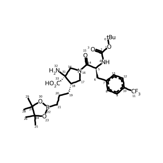 CC(C)(C)OC(=O)N[C@@H](Cc1ccc(C(F)(F)F)cc1)C(=O)N1C[C@H](CCCB2OC(C)(C)C(C)(C)O2)[C@](N)(C(=O)O)C1